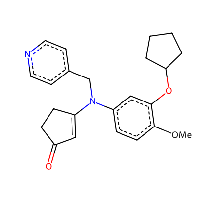 COc1ccc(N(Cc2ccncc2)C2=CC(=O)CC2)cc1OC1CCCC1